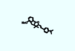 COc1cccc2c1CC1N2OC(C=Cc2ccc(N(C)C)cc2)C1(C)C